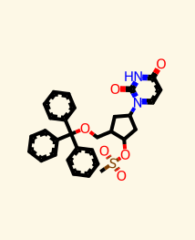 CS(=O)(=O)OC1CC(n2ccc(=O)[nH]c2=O)CC1COC(c1ccccc1)(c1ccccc1)c1ccccc1